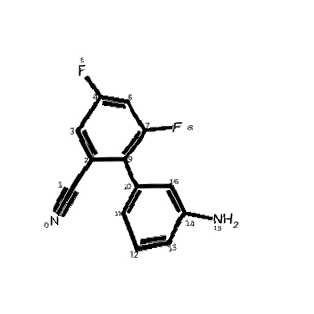 N#Cc1cc(F)cc(F)c1-c1cccc(N)c1